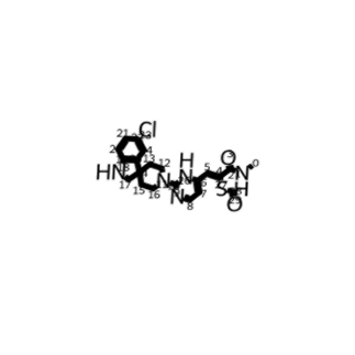 CNC(=O)/C(=C/C1=CC=NC(N2CCC3(CC2)CNc2ccc(Cl)cc23)N1)SC=O